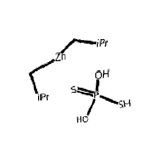 CC(C)[CH2][Zn][CH2]C(C)C.OP(O)(=S)S